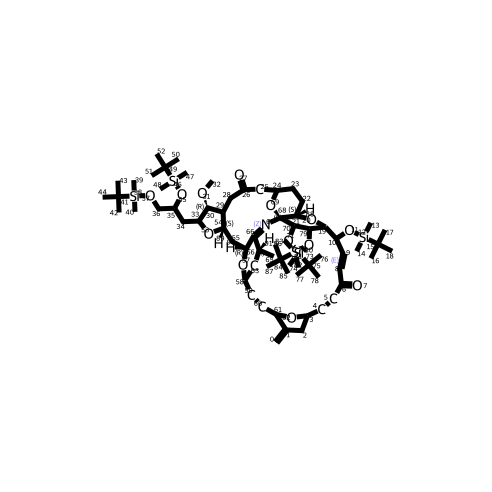 C=C1CC2CCC(=O)/C=C/C(O[Si](C)(C)C(C)(C)C)C3O[C@H]4CCC5CC(=O)CC6[C@@H](OC)C(CC(CO[Si](C)(C)C(C)(C)C)O[Si](C)(C)C(C)(C)C)O[C@H]6C[C@H]6OC(CCC1O2)C[C@@H](C)/C6=N/[C@@]4(O5)C(O[Si](C)(C)C(C)(C)C)C3O[Si](C)(C)C(C)(C)C